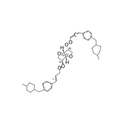 CC1CCC(Cc2ccc(C=C=COO[C@@H]3CO[C@H]4[C@@H]3OC[C@@H]4OOC/C=C/c3ccc(CC4CCC(C)CC4)cc3)cc2)CC1